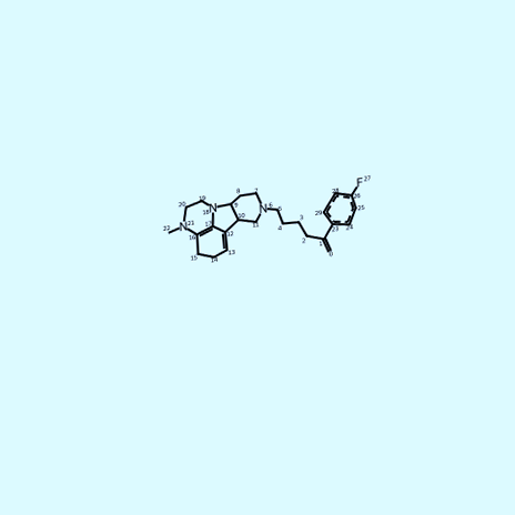 C=C(CCCCN1CCC2C(C1)C1=CCCC3=C1N2CCN3C)c1ccc(F)cc1